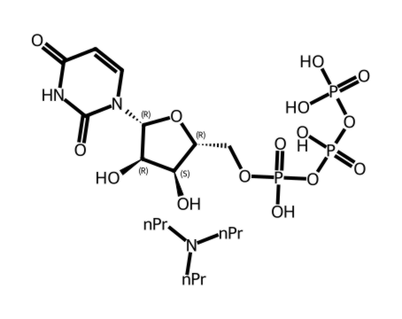 CCCN(CCC)CCC.O=c1ccn([C@@H]2O[C@H](COP(=O)(O)OP(=O)(O)OP(=O)(O)O)[C@@H](O)[C@H]2O)c(=O)[nH]1